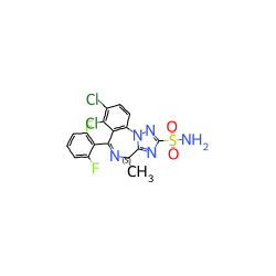 C[C@@H]1N=C(c2c(F)cccc2F)c2c(ccc(Cl)c2Cl)-n2nc(S(N)(=O)=O)nc21